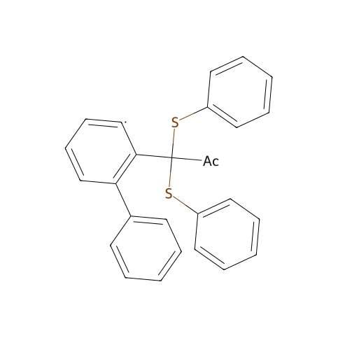 CC(=O)C(Sc1ccccc1)(Sc1ccccc1)c1[c]cccc1-c1ccccc1